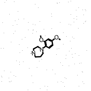 COc1ccc(N2CCC[N]CC2)c(OC)c1